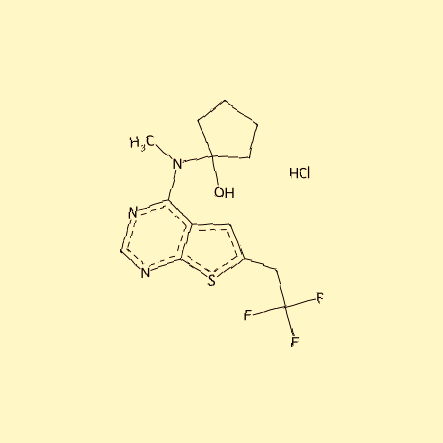 CN(c1ncnc2sc(CC(F)(F)F)cc12)C1(O)CCCC1.Cl